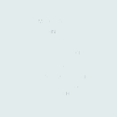 COC(=O)N/C=C/CCC(C)c1cc(O)c(C(=O)C(C)CCc2ccc(CCC3CCCCC3)s2)c(=O)o1